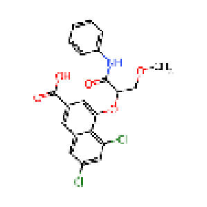 COCC(Oc1cc(C(=O)O)cc2cc(Cl)cc(Cl)c12)C(=O)Nc1ccccc1